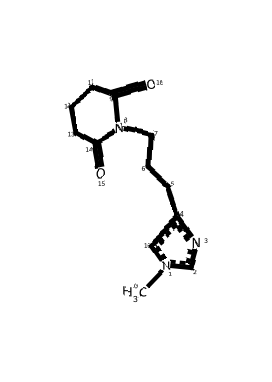 Cn1cnc(CCCN2C(=O)CCCC2=O)c1